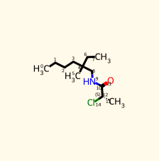 CCCCC(C)(CC)CNC(=O)[C@H](C)Cl